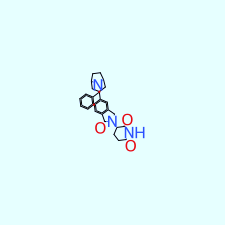 O=C1CCC(N2Cc3cc(C4CC5CCC(C4)N5Cc4ccccc4)ccc3C2=O)C(=O)N1